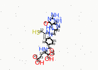 Nc1nc(=O)c2nc(CN(NCCS)c3ccc(C(=O)N[C@@H](CCC(=O)O)C(=O)O)cc3)cnc2[nH]1